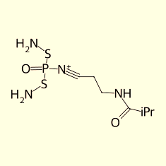 CC(C)C(=O)NCCC#[N+]P(=O)(SN)SN